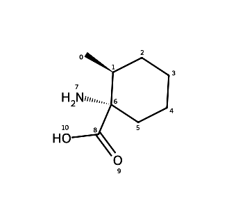 C[C@H]1CCCC[C@@]1(N)C(=O)O